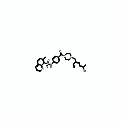 C=C/C(=C\C=C(/C)Br)CN1CCN(C(=O)c2ccc(NS(=O)(=O)c3c(C)ccc4cccnc34)cc2)CC1